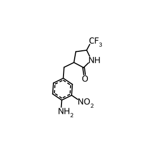 Nc1ccc(CC2CC(C(F)(F)F)NC2=O)cc1[N+](=O)[O-]